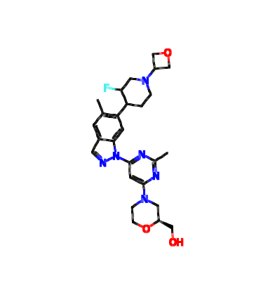 Cc1nc(N2CCO[C@H](CO)C2)cc(-n2ncc3cc(C)c(C4CCN(C5COC5)CC4F)cc32)n1